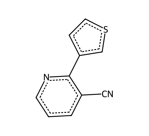 N#Cc1cccnc1-c1ccsc1